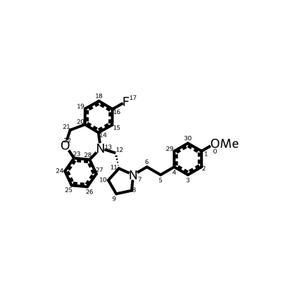 COc1ccc(CCN2CCC[C@@H]2CN2c3cc(F)ccc3COc3ccccc32)cc1